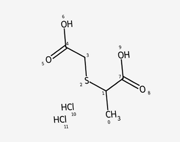 CC(SCC(=O)O)C(=O)O.Cl.Cl